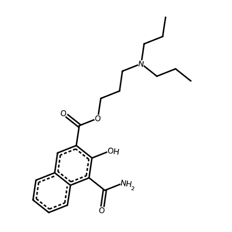 CCCN(CCC)CCCOC(=O)c1cc2ccccc2c(C(N)=O)c1O